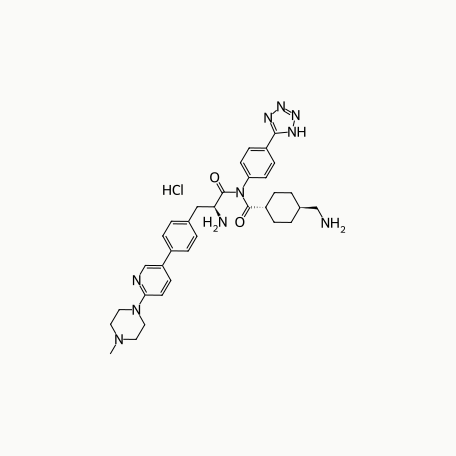 CN1CCN(c2ccc(-c3ccc(C[C@H](N)C(=O)N(c4ccc(-c5nnn[nH]5)cc4)C(=O)[C@H]4CC[C@H](CN)CC4)cc3)cn2)CC1.Cl